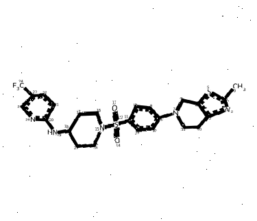 Cc1nc2c(s1)CN(c1ccc(S(=O)(=O)N3CCC(Nc4ccc(C(F)(F)F)cn4)CC3)cc1)CC2